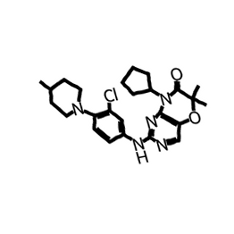 CC1CCN(c2ccc(Nc3ncc4c(n3)N(C3CCCC3)C(=O)C(C)(C)O4)cc2Cl)CC1